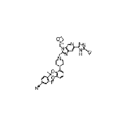 CC1(c2ccc(C#N)cc2F)Oc2cccc(C3CCN(Cc4nc5cc(-c6nnc(C7CC7)[nH]6)ncc5n4C[C@@H]4CCO4)CC3)c2O1